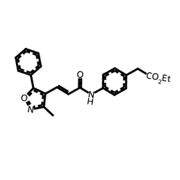 CCOC(=O)Cc1ccc(NC(=O)C=Cc2c(C)noc2-c2ccccc2)cc1